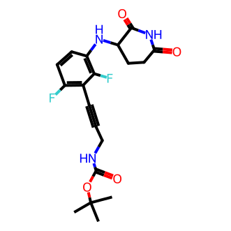 CC(C)(C)OC(=O)NCC#Cc1c(F)ccc(NC2CCC(=O)NC2=O)c1F